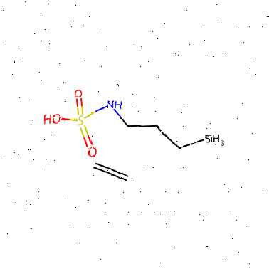 C=C.O=S(=O)(O)NCCC[SiH3]